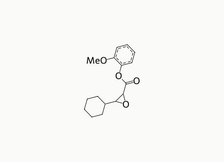 COc1ccccc1OC(=O)C1OC1C1CCCCC1